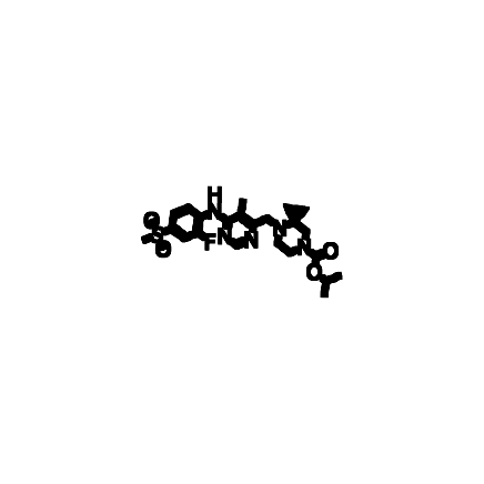 Cc1c(CN2CCN(C(=O)OC(C)C)CC23CC3)ncnc1Nc1ccc(S(C)(=O)=O)cc1F